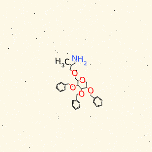 CC(CN)COCC1OCC(OCc2ccccc2)C(OCc2ccccc2)C1OCc1ccccc1